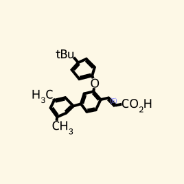 Cc1cc(C)cc(-c2ccc(/C=C/C(=O)O)c(Oc3ccc(C(C)(C)C)cc3)c2)c1